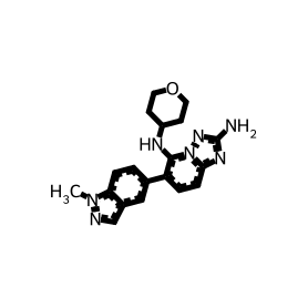 Cn1ncc2cc(-c3ccc4nc(N)nn4c3NC3CCOCC3)ccc21